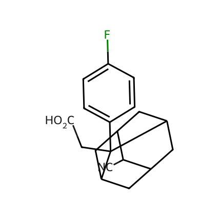 N#CC1C2CC3CC1CC(C2)C3(CC(=O)O)c1ccc(F)cc1